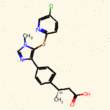 C[C@@H](CC(=O)O)c1ccc(-c2ncn(C)c2Sc2ccc(Cl)cn2)cc1